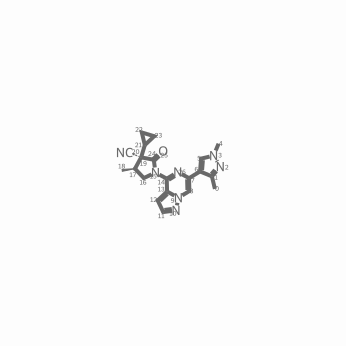 Cc1nn(C)cc1-c1cn2nccc2c(N2C[C@@H](C)[C@@](C#N)(C3CC3)C2=O)n1